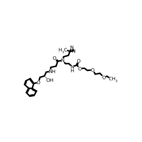 CCOCCOCCOC(=O)NCCN(CCC1(C)N=N1)C(=O)CCNC[C@H](O)COc1cccc2ccccc12